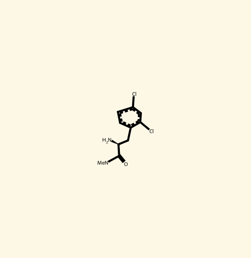 CNC(=O)[C@@H](N)Cc1ccc(Cl)cc1Cl